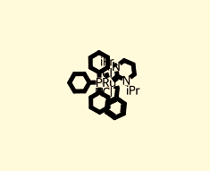 CC(C)N1CCCN(C(C)C)[C]1=[Ru]([Cl])([Cl])(=[CH]c1ccccc1)[PH](C1CCCCC1)(C1CCCCC1)C1CCCCC1